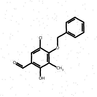 Cc1c(O)c(C=O)cc(Cl)c1OCc1ccccc1